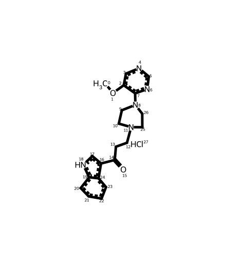 COc1cncnc1N1CCN(CCC(=O)c2c[nH]c3ccccc23)CC1.Cl